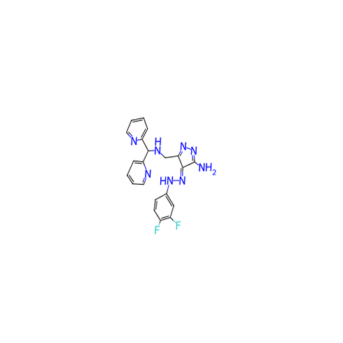 NC1=NN=C(CNC(c2ccccn2)c2ccccn2)/C1=N\Nc1ccc(F)c(F)c1